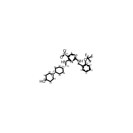 O=[N+]([O-])c1cnc(NCc2ccccc2OC(F)(F)F)nc1NC[C@H]1CC[C@H](N2CCC(O)CC2)CC1